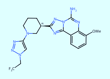 COc1cccc2c1nc(N)n1nc([C@@H]3CCCN(c4cn(CC(F)(F)F)nn4)C3)nc21